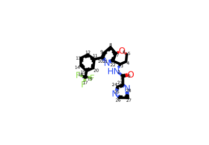 O=C(NC1CCOc2ccc(-c3cccc(C(F)(F)F)c3)nc21)c1cnccn1